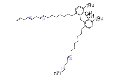 C=CC/C=C/C/C=C/CCCCCCCc1ccc(C(C)(C)C)c(O)c1Cc1c(CCCCCCC/C=C/C/C=C/CCC)ccc(C(C)(C)C)c1O